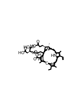 C=Cc1c(C)c2cc3nc(c(CCON[C@@H](CC(=O)O)C(=O)O)c4[nH]c(cc5nc(cc1[nH]2)C(C)=C5CC)c(C)c4C(=O)O)[C@@H](CCC(=O)O)[C@@H]3C